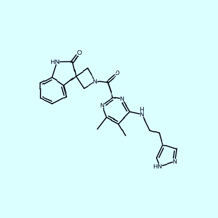 Cc1nc(C(=O)N2CC3(C2)C(=O)Nc2ccccc23)nc(NCCc2cn[nH]c2)c1C